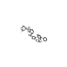 C[C@@H]1CN(c2nc3c(Nc4ccc(Cl)c(-c5ncc(-c6ccccc6)[nH]5)c4)cccc3o2)C[C@H](C)O1